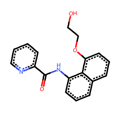 O=C(Nc1cccc2cccc(OCCO)c12)c1ccccn1